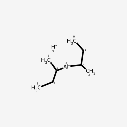 CC[CH](C)[Al+][CH](C)CC.[H-]